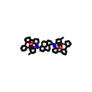 Cc1ccc(N(c2ccc3ccc4c(N(c5ccc(C)cc5)c5cccc6c5oc5c(-c7ccccc7C(C)C)cccc56)ccc5ccc2c3c54)c2cccc3c2oc2c(-c4ccccc4C(C)C)cccc23)cc1